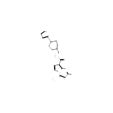 Cc1cc(C#N)n2ccc(C(=O)NCC3CCC(c4ccco4)CC3)c2n1